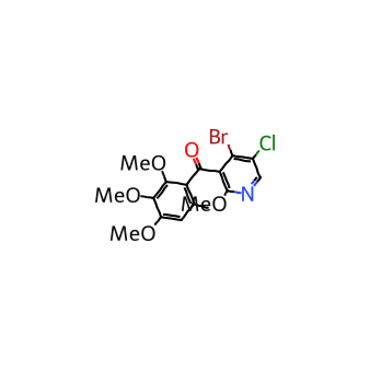 COc1cc(C)c(C(=O)c2c(OC)ncc(Cl)c2Br)c(OC)c1OC